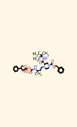 C[C@@H](CCN1CCN(C(=O)OCc2ccccc2)C[C@H]1C(=O)NC(C)(C)C)NC(=O)O[C@@]1(O)CC(c2ccccc2)CO1